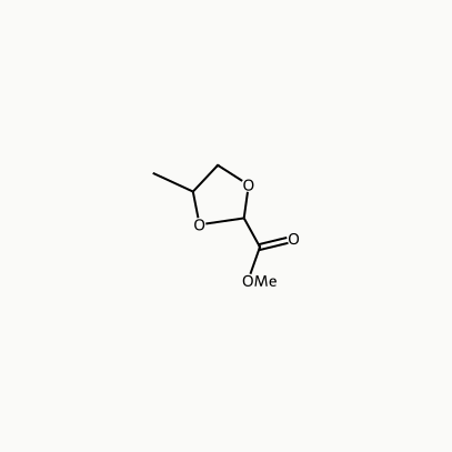 [CH2]OC(=O)C1OCC(C)O1